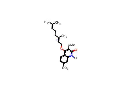 CCn1c(=O)c(OC)c(OC/C=C(\C)CCC=C(C)C)c2ccc([N+](=O)[O-])cc21